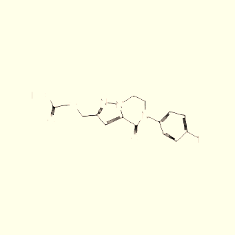 CC(=O)OCc1cc2n(n1)CCN(c1ccc(F)cc1)C2=O